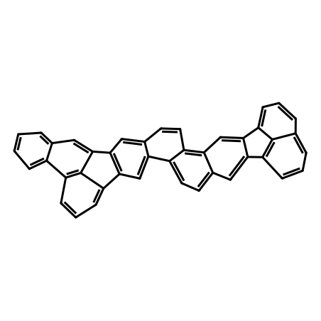 c1cc2c3c(cccc3c1)-c1cc3c(ccc4c5cc6c(cc5ccc34)-c3cc4ccccc4c4cccc-6c34)cc1-2